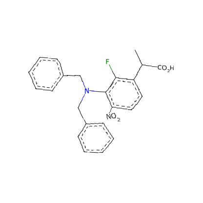 CC(C(=O)O)c1ccc([N+](=O)[O-])c(N(Cc2ccccc2)Cc2ccccc2)c1F